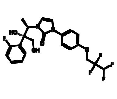 C[C@@H](n1ccn(-c2ccc(OCC(F)(F)C(F)F)cc2)c1=O)[C@@](O)(CO)c1ccccc1F